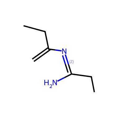 C=C(CC)/N=C(\N)CC